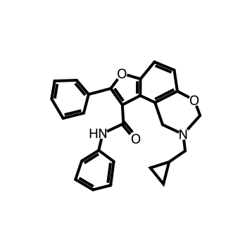 O=C(Nc1ccccc1)c1c(-c2ccccc2)oc2ccc3c(c12)CN(CC1CC1)CO3